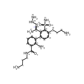 NCCCNC(=O)c1cccc(-c2ccc(SCCN)c(S(N)(=O)=O)c2/C(N)=N/NN)c1N